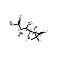 CC1(C)C(=O)[C@]1(O)[C@@H](O)[C@H](O)[C@H](O)C(=O)O